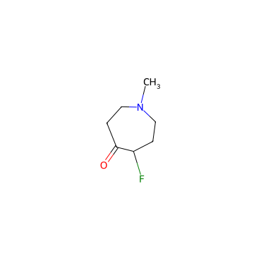 CN1CCC(=O)C(F)CC1